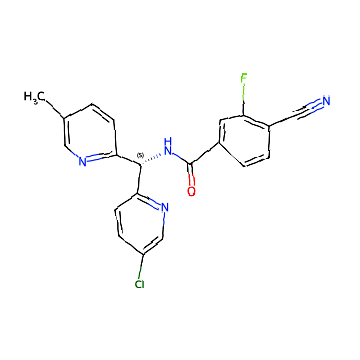 Cc1ccc([C@H](NC(=O)c2ccc(C#N)c(F)c2)c2ccc(Cl)cn2)nc1